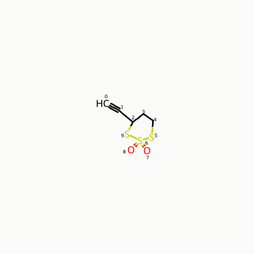 C#CC1CCSS(=O)(=O)S1